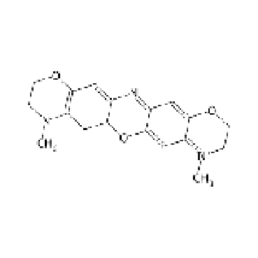 CN1CCOC2=C1CC1Oc3cc4c(cc3=NC1=C2)OCC[N+]=4C